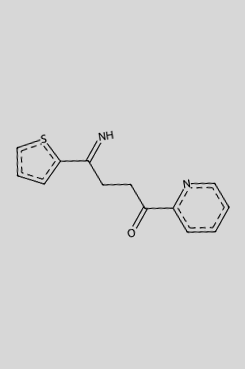 N=C(CCC(=O)c1ccccn1)c1cccs1